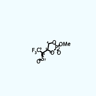 COP1(=O)OCC(C(=S=O)C(F)(F)F)O1